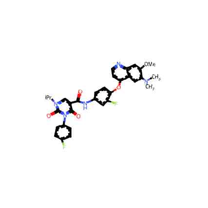 COc1cc2nccc(Oc3ccc(NC(=O)c4cn(C(C)C)c(=O)n(-c5ccc(F)cc5)c4=O)cc3F)c2cc1N(C)C